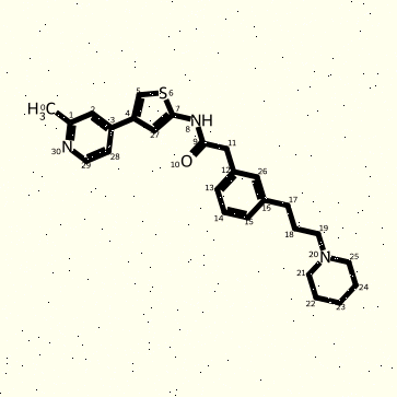 Cc1cc(-c2csc(NC(=O)Cc3cccc(CCCN4CCCCC4)c3)c2)ccn1